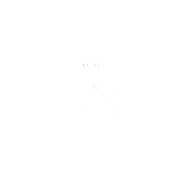 CNc1cccc(-c2ccccc2)n1.Cl